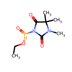 CCO[PH](=O)N1C(=O)N(C)C(C)(C)C1=O